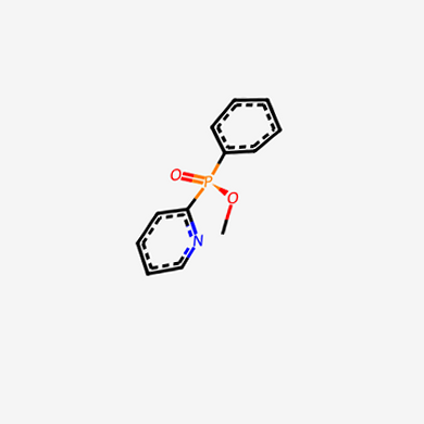 CO[P@@](=O)(c1ccccc1)c1ccccn1